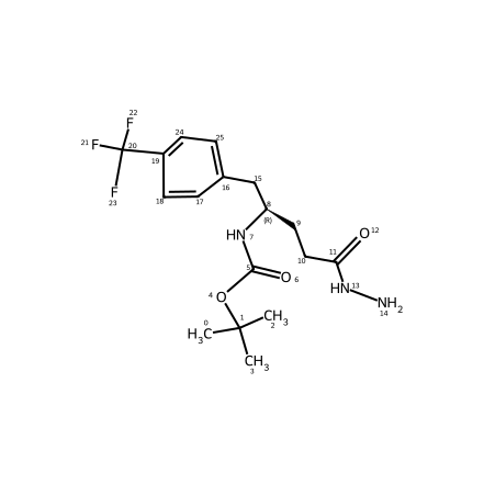 CC(C)(C)OC(=O)N[C@H](CCC(=O)NN)Cc1ccc(C(F)(F)F)cc1